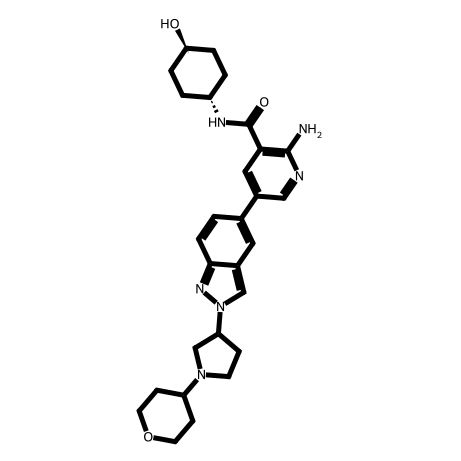 Nc1ncc(-c2ccc3nn(C4CCN(C5CCOCC5)C4)cc3c2)cc1C(=O)N[C@H]1CC[C@H](O)CC1